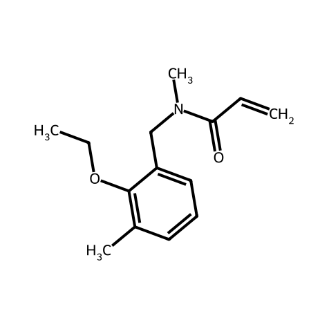 C=CC(=O)N(C)Cc1cccc(C)c1OCC